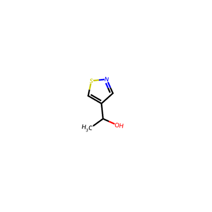 CC(O)c1cnsc1